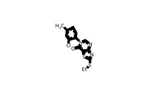 CCSc1nc2ncn(-c3ccc(C)cc3Cl)c(=O)c2s1